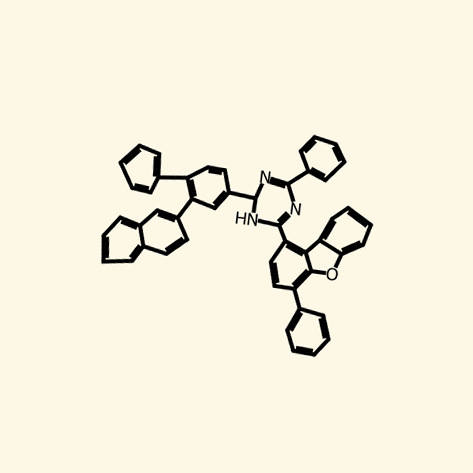 c1ccc(C2=NC(c3ccc(-c4ccccc4)c(-c4ccc5ccccc5c4)c3)NC(c3ccc(-c4ccccc4)c4oc5ccccc5c34)=N2)cc1